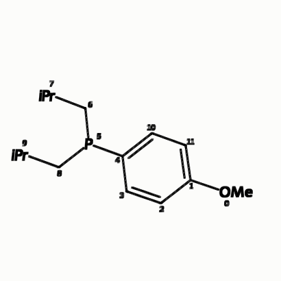 COc1ccc(P(CC(C)C)CC(C)C)cc1